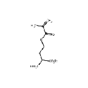 C=C(C)C(=O)OCCC(C(=O)OCC)C(=O)OCC